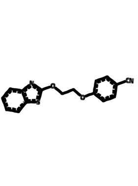 N#Cc1ccc(OCCOc2nc3ccccc3s2)cc1